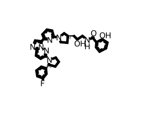 O=C(NCC(O)C[C@H]1CCN(c2cccc(-c3cnc4ccc(N5CCC[C@@H]5c5cccc(F)c5)nn34)n2)C1)c1ccccc1O